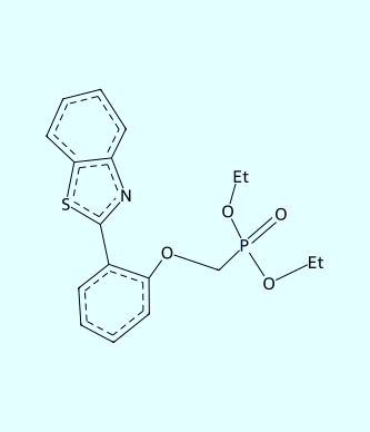 CCOP(=O)(COc1ccccc1-c1nc2ccccc2s1)OCC